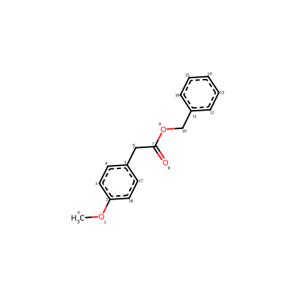 COc1ccc([CH]C(=O)OCc2ccccc2)cc1